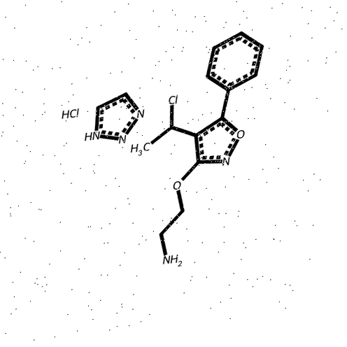 CC(Cl)c1c(OCCN)noc1-c1ccccc1.Cl.c1c[nH]nn1